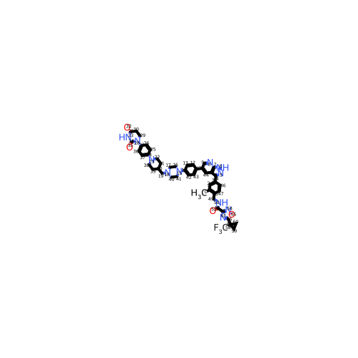 Cc1cc(-c2n[nH]c3ncc(-c4ccc(N5CCN(CC6CCN(c7ccc(N8CCC(=O)NC8=O)cc7)CC6)CC5)cc4)cc23)ccc1CNC(=O)c1noc(C2(C(F)(F)F)CC2)n1